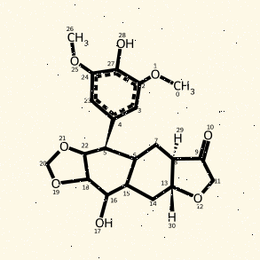 COc1cc([C@H]2C3C[C@H]4C(=O)CO[C@@H]4CC3C(O)C3OCOC32)cc(OC)c1O